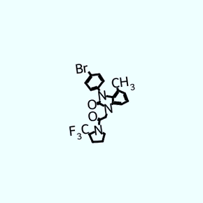 Cc1cccc2c1n(-c1ccc(Br)cc1)c(=O)n2CC(=O)N1CCC[C@H]1C(F)(F)F